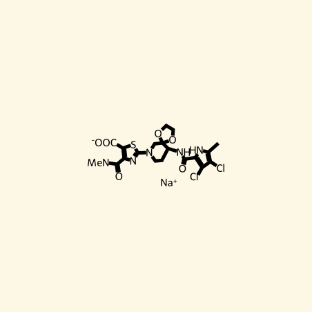 CNC(=O)c1nc(N2CCC(NC(=O)c3[nH]c(C)c(Cl)c3Cl)C3(C2)OCCO3)sc1C(=O)[O-].[Na+]